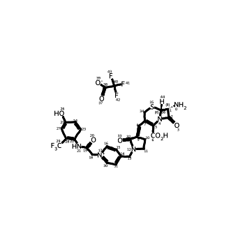 N[C@@H]1C(=O)N2C(C(=O)O)=C(C=C3CCN(Cc4cc[n+](CC(=O)Nc5ccc(O)cc5C(F)(F)F)cc4)C3=O)CS[C@H]12.O=C([O-])C(F)(F)F